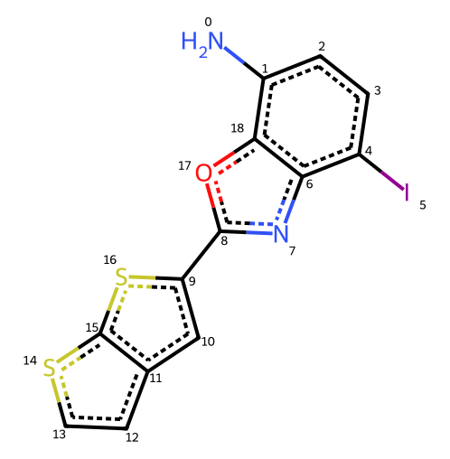 Nc1ccc(I)c2nc(-c3cc4ccsc4s3)oc12